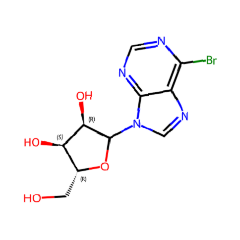 OC[C@H]1OC(n2cnc3c(Br)ncnc32)[C@H](O)[C@@H]1O